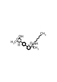 CCCCCCCNC(=O)N(C)c1cccc(-c2ccc([C@H](CC(=O)O)NCC)cc2)n1